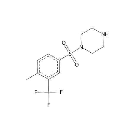 Cc1ccc(S(=O)(=O)N2CCNCC2)cc1C(F)(F)F